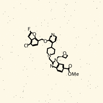 COC(=O)c1ccc2nc(CN3CCC(c4ccncc4OCc4ccc(Cl)c5cc(F)oc45)CC3)n(C[C@@H]3CCO3)c2c1